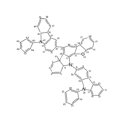 CC12C=CC=CC1N(c1ccc3c4ccccc4n(-c4ccccc4)c3c1)c1c2c(-c2ccc3c(c2)C2C=CC=CC2N3c2ccccc2)cc2c1oc1ccccc12